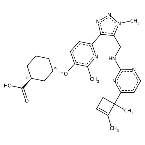 CC1=CCC1(C)c1ccnc(NCc2c(-c3ccc(O[C@H]4CCC[C@H](C(=O)O)C4)c(C)n3)nnn2C)n1